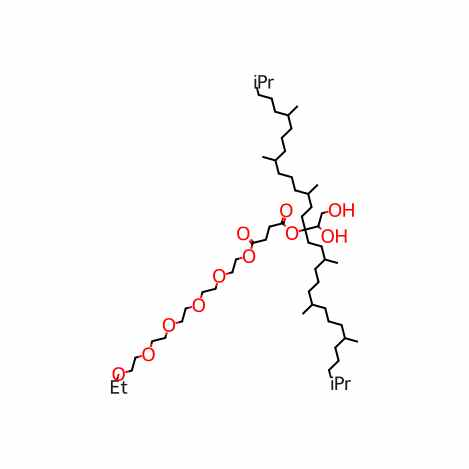 CCOCCOCCOCCOCCOCCOC(=O)CCC(=O)OC(CCC(C)CCCC(C)CCCC(C)CCCC(C)C)(CCC(C)CCCC(C)CCCC(C)CCCC(C)C)C(O)CO